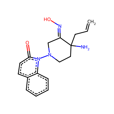 C=CCC1(N)CCN(n2c(=O)ccc3ccccc32)CC1=NO